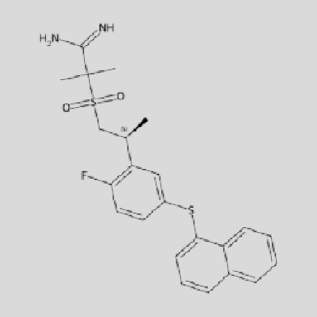 C[C@H](CS(=O)(=O)C(C)(C)C(=N)N)c1cc(Sc2cccc3ccccc23)ccc1F